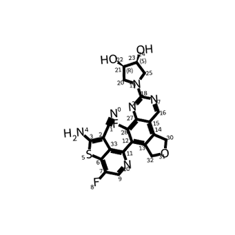 N#Cc1c(N)sc2c(F)cnc(-c3c4c(c5cnc(N6C[C@@H](O)[C@@H](O)C6)nc5c3F)COC4)c12